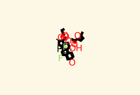 CCC(=O)O[C@]1(C(=O)OCC(=O)c2ccc(C)o2)[C@H](C)C[C@H]2[C@@H]3C[C@H](F)C4=CC(=O)C=C[C@]4(C)[C@@]3(F)[C@@H](O)C[C@@]21C